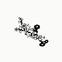 [N-]=[N+]=CC(=O)CC[C@H](NC(=O)[C@H](CCC(=O)C=[N+]=[N-])NC(=O)CC[C@H](NC(=O)[C@H](Cc1c[nH]c2ccccc12)NC(=O)OCC1c2ccccc2-c2ccccc21)C(N)=O)C(N)=O